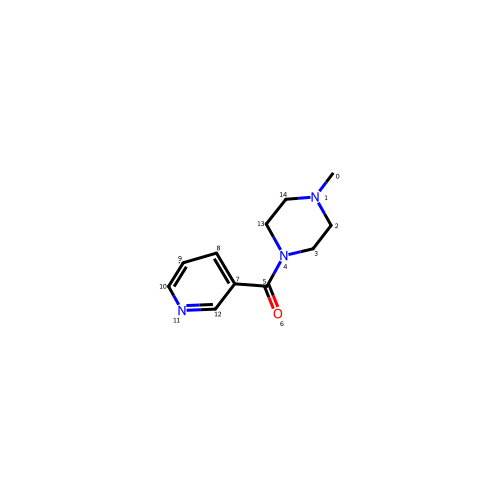 CN1CCN(C(=O)c2c[c]cnc2)CC1